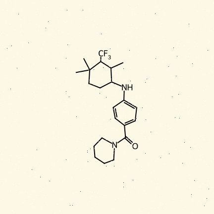 CC1C(Nc2ccc(C(=O)N3CCCCC3)cc2)CCC(C)(C)C1C(F)(F)F